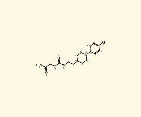 NC(=O)COC(=O)NCCC1CCN(c2ccc(Cl)cn2)CC1